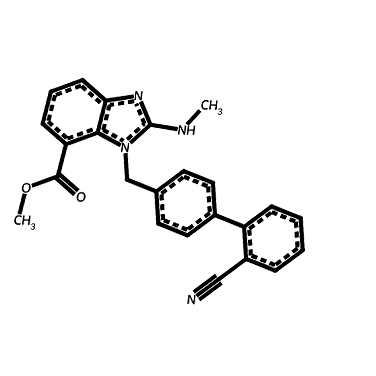 CNc1nc2cccc(C(=O)OC)c2n1Cc1ccc(-c2ccccc2C#N)cc1